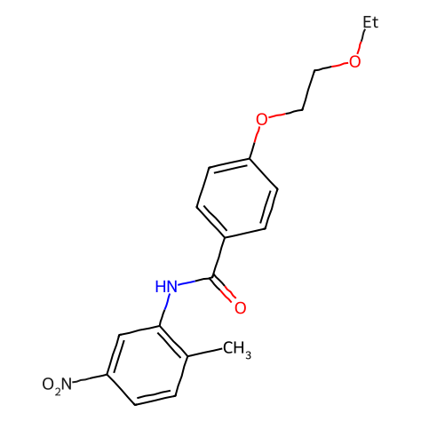 CCOCCOc1ccc(C(=O)Nc2cc([N+](=O)[O-])ccc2C)cc1